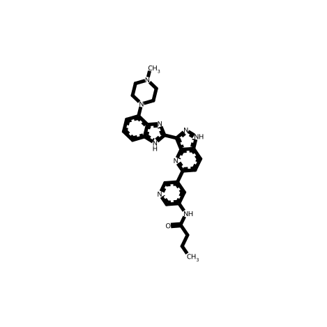 CCCC(=O)Nc1cncc(-c2ccc3[nH]nc(-c4nc5c(N6CCN(C)CC6)cccc5[nH]4)c3n2)c1